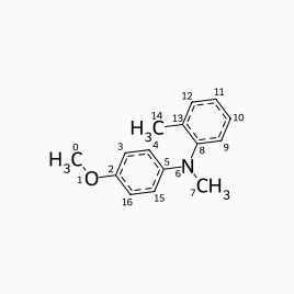 COc1ccc(N(C)c2ccccc2C)cc1